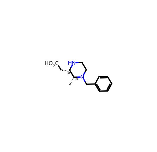 C[C@@H]1[C@H](CC(=O)O)NCCN1Cc1ccccc1